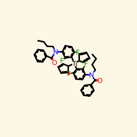 CCCCN(C(=O)c1ccccc1)c1ccc(F)[c]([Ti]([c]2c(F)ccc(N(CCCC)C(=O)c3ccccc3)c2F)([CH]2C=CC=C2)[CH]2C=CC=C2)c1F